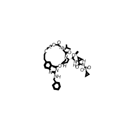 C=C[C@@H]1C[C@]1(NC(=O)[C@@H]1C[C@@H]2CN1C(=O)[C@H](C(C)C)NC(=O)OCCCCCc1ccc3nc(NCc4ccccc4)nc(c3c1)O2)C(=O)NS(=O)(=O)C1CC1